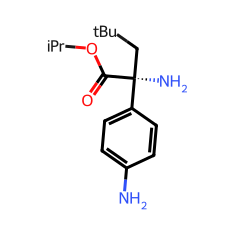 CC(C)OC(=O)[C@@](N)(CC(C)(C)C)c1ccc(N)cc1